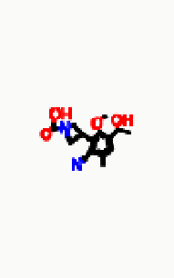 COc1c(C(C)O)cc(C)c(C#N)c1C1CN(C(=O)O)C1